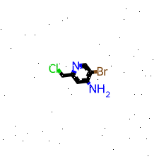 Nc1cc(CCl)ncc1Br